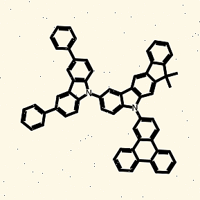 CC1(C)c2ccccc2-c2cc3c4cc(-n5c6ccc(-c7ccccc7)cc6c6cc(-c7ccccc7)ccc65)ccc4n(-c4ccc5c6ccccc6c6ccccc6c5c4)c3cc21